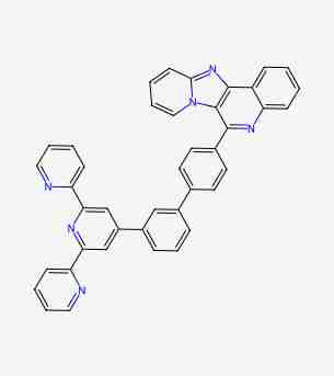 c1ccc(-c2cc(-c3cccc(-c4ccc(-c5nc6ccccc6c6nc7ccccn7c56)cc4)c3)cc(-c3ccccn3)n2)nc1